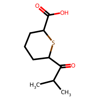 CC(C)C(=O)C1CCCC(C(=O)O)S1